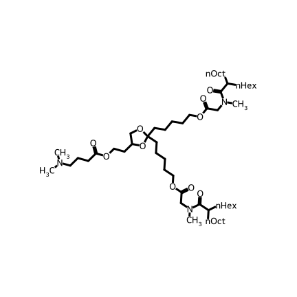 CCCCCCCCC(CCCCCC)C(=O)N(C)CC(=O)OCCCCCC1(CCCCCOC(=O)CN(C)C(=O)C(CCCCCC)CCCCCCCC)OCC(CCOC(=O)CCCN(C)C)O1